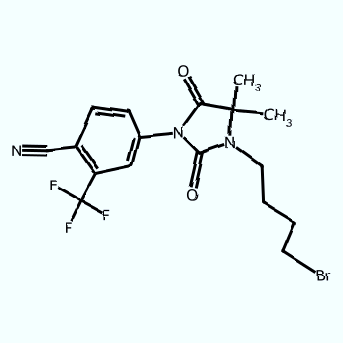 CC1(C)C(=O)N(c2ccc(C#N)c(C(F)(F)F)c2)C(=O)N1CCCCBr